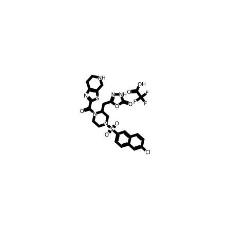 O=C(O)C(F)(F)F.O=C(c1nc2c(s1)CNCC2)N1CCN(S(=O)(=O)c2ccc3cc(Cl)ccc3c2)CC1Cc1n[nH]c(=O)o1